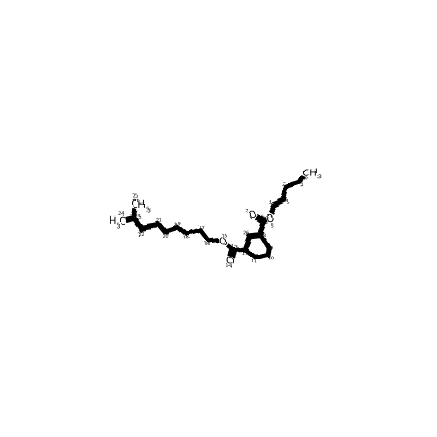 CCCCCOC(=O)C1CCCC(C(=O)OCCCCCCCC(C)C)C1